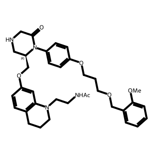 COc1ccccc1COCCCOc1ccc(N2C(=O)CNC[C@@H]2COc2ccc3c(c2)N(CCNC(C)=O)CCC3)cc1